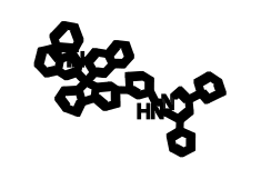 C1=C(c2ccccc2)C=C(c2ccccc2)C2NC(c3cccc(-c4ccc5c(c4)C(c4ccc6ccccc6c4)(c4cc6ccccc6cc4Nc4ccccc4)c4ccccc4-5)c3)N12